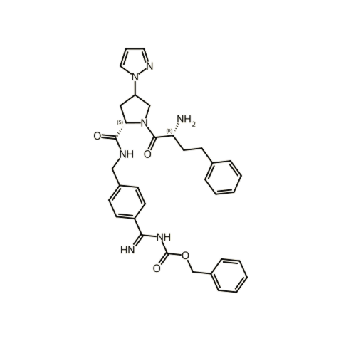 N=C(NC(=O)OCc1ccccc1)c1ccc(CNC(=O)[C@@H]2CC(n3cccn3)CN2C(=O)[C@H](N)CCc2ccccc2)cc1